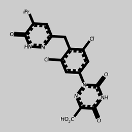 CC(C)c1cc(Cc2c(Cl)cc(-n3nc(C(=O)O)c(=O)[nH]c3=O)cc2Cl)n[nH]c1=O